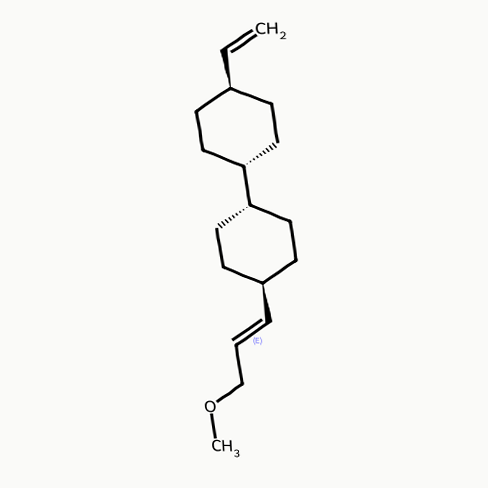 C=C[C@H]1CC[C@H]([C@H]2CC[C@H](/C=C/COC)CC2)CC1